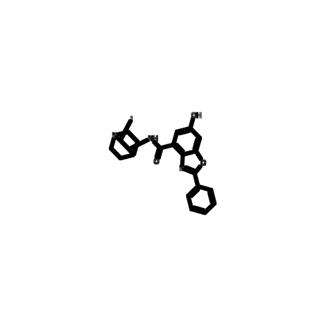 O=C(NC1C2CCN(CC2)C1I)c1cc(O)cc2oc(-c3ccccc3)nc12